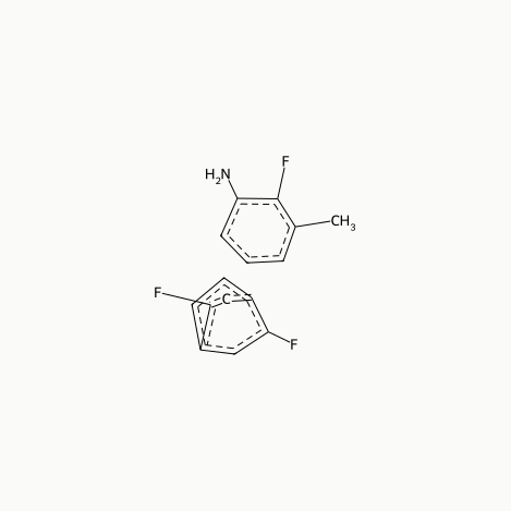 Cc1cccc(N)c1F.Fc1cc2ccc1cc2F